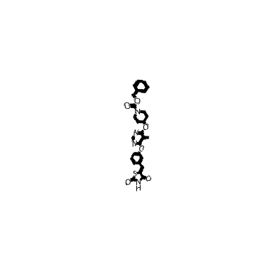 Cc1c(Oc2cccc(/C=C3\SC(=O)NC3=O)c2)ncnc1OC1CCN(C(=O)OCc2ccccc2)CC1